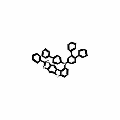 c1ccc(-c2ccc(N(c3ccc(-c4ccccc4)c(-c4ccccc4)c3)c3cccc4oc5cc6nc(-c7ccccc7)oc6cc5c34)cc2)cc1